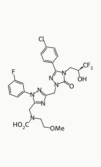 COCCN(Cc1nc(Cn2nc(-c3ccc(Cl)cc3)n(C[C@H](O)C(F)(F)F)c2=O)nn1-c1cccc(F)c1)C(=O)O